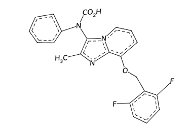 Cc1nc2c(OCc3c(F)cccc3F)cccn2c1N(C(=O)O)c1ccccc1